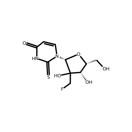 O=c1ccn([C@@H]2O[C@H](CO)[C@H](O)C2(O)CF)c(=S)[nH]1